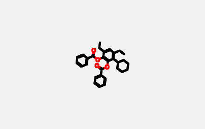 CCc1cc(CC)c(C2CCCCC2)c(OC(=O)c2ccccc2)c1OC(=O)c1ccccc1